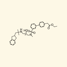 CCOC(=O)Cc1ccc(-c2cccc(S(=O)(=O)N(C)C[C@H](O)CNC(C)(C)CC3Cc4ccccc4C3)c2)cc1